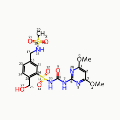 COc1cc(OC)nc(NC(=O)NS(=O)(=O)c2cc(CNS(C)(=O)=O)ccc2CO)n1